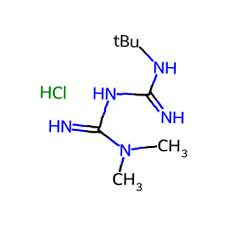 CN(C)C(=N)NC(=N)NC(C)(C)C.Cl